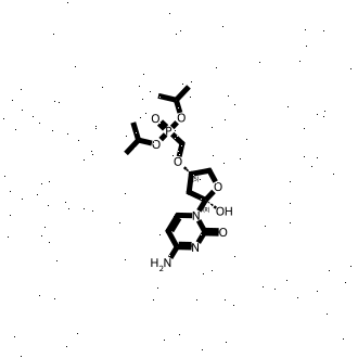 CC(C)OP(=O)(CO[C@@H]1CO[C@@](O)(n2ccc(N)nc2=O)C1)OC(C)C